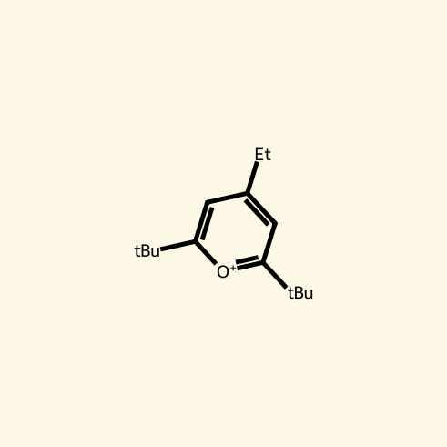 CCc1cc(C(C)(C)C)[o+]c(C(C)(C)C)c1